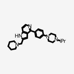 CC(C)N1CCN(c2ccc(-c3nccc4[nH]c(CN5CCCCC5)cc34)cc2)CC1